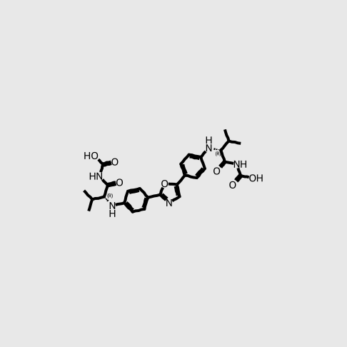 CC(C)[C@@H](Nc1ccc(-c2cnc(-c3ccc(N[C@@H](C(=O)NC(=O)O)C(C)C)cc3)o2)cc1)C(=O)NC(=O)O